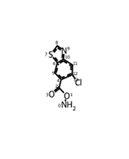 NOC(=O)c1cc2scnc2cc1Cl